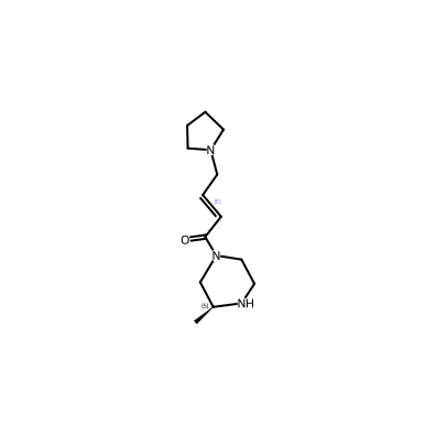 C[C@H]1CN(C(=O)/C=C/CN2CCCC2)CCN1